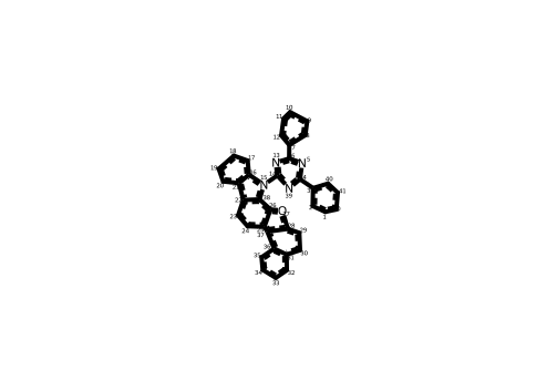 c1ccc(-c2nc(-c3ccccc3)nc(-n3c4ccccc4c4ccc5c(oc6ccc7ccccc7c65)c43)n2)cc1